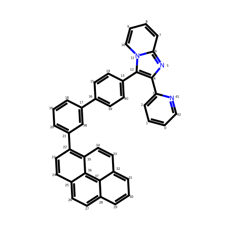 c1ccc(-c2nc3ccccn3c2-c2ccc(-c3cccc(-c4ccc5ccc6cccc7ccc4c5c67)c3)cc2)nc1